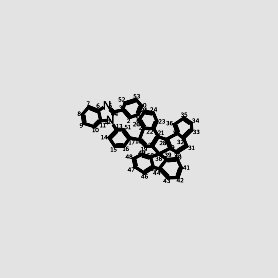 c1ccc(-c2nc3ccccc3n2-c2cccc(-c3cc4c(c5ccccc35)-c3c(ccc5ccccc35)C43c4ccccc4-c4ccccc43)c2)cc1